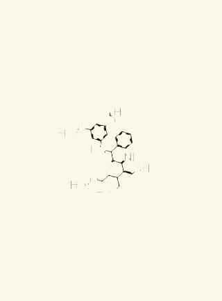 CCC(CCOC)/C(=C/S)C(=N)C(=O)C(Nc1cc(OC)cc(OC)c1)c1ccccc1